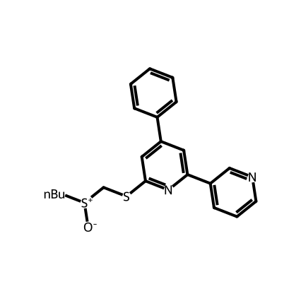 CCCC[S+]([O-])CSc1cc(-c2ccccc2)cc(-c2cccnc2)n1